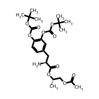 CC(=O)OC[C@H](C)OC(=O)[C@@H](N)Cc1ccc(OC(=O)OC(C)(C)C)c(OC(=O)OC(C)(C)C)c1